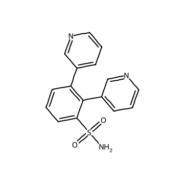 NS(=O)(=O)c1cccc(-c2cccnc2)c1-c1cccnc1